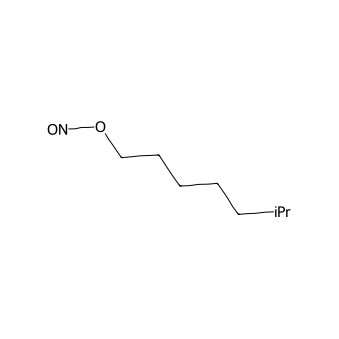 CC(C)CCCCCON=O